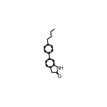 CCCCc1ccc(-c2ccc3c(c2)NC(=O)C3)cc1